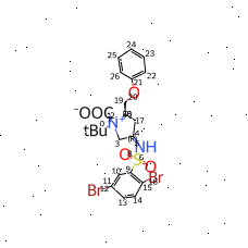 CC(C)(C)[N+]1(C(=O)[O-])C[C@H](NS(=O)(=O)c2cc(Br)ccc2Br)C[C@@H]1COc1ccccc1